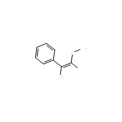 CC(NO)=C(C=O)c1ccccc1